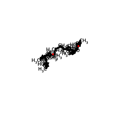 CCC1=CC2C(C1)CC2(CNC(=O)NCC1(CC(=O)OC2CC(C)(C)C(C=CC(C)=CC=CC(C)=CC=CC=C(C)C=CC=C(C)C=CC3=C(C)C(=O)C(OC(=O)CC4(CNC(=O)NCC5(CC(=O)O)CC6CC(CC)=CC65)CC5CC(CC)=CC54)CC3(C)C)=C(C)C2=O)CC2CC(CC)=CC21)CC(=O)O